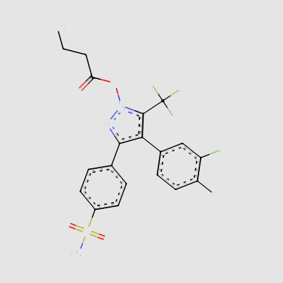 CCCC(=O)On1nc(-c2ccc(S(N)(=O)=O)cc2)c(-c2ccc(C)c(F)c2)c1C(F)(F)F